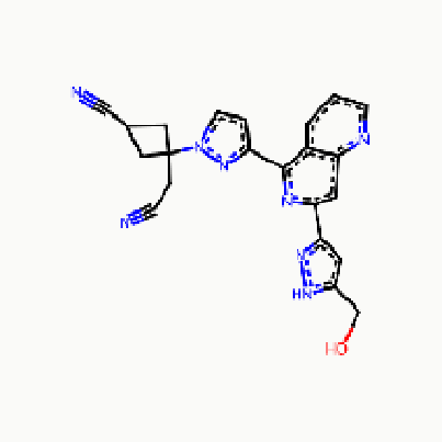 N#CCC1(n2ccc(-c3nc(-c4cc(CO)[nH]n4)cc4ncccc34)n2)CC(C#N)C1